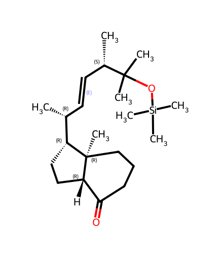 C[C@H](/C=C/[C@H](C)C(C)(C)O[Si](C)(C)C)[C@H]1CC[C@H]2C(=O)CCC[C@]12C